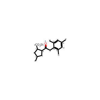 CCOC(=O)C1CC(C)CC1C(=O)Cc1c(C)cc(C)cc1C